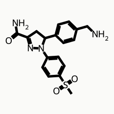 CS(=O)(=O)c1ccc(N2N=C(C(N)=O)CC2c2ccc(CN)cc2)cc1